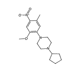 COc1cc([N+](=O)[O-])c(C)cc1N1CCN(C2CCCC2)CC1